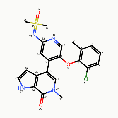 Cc1cccc(Cl)c1Oc1cnc(N=S(C)(C)=O)cc1-c1cn(C)c(=O)c2[nH]ccc12